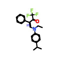 CCN(/C=C(\C(=O)C(F)(F)F)c1ccccc1)c1ccc(C(C)C)cc1